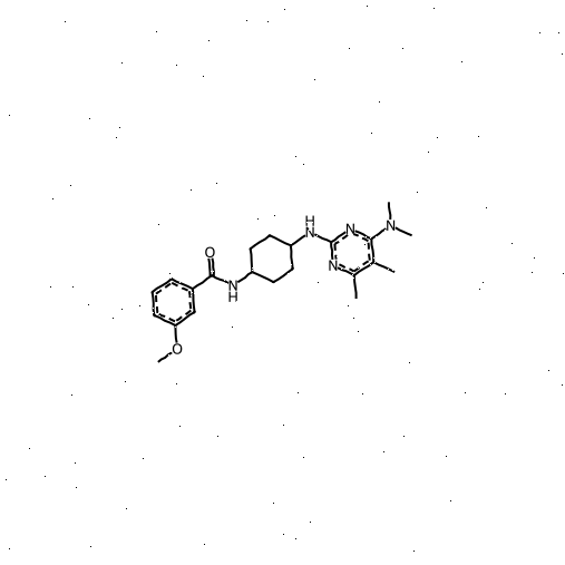 COc1cccc(C(=O)NC2CCC(Nc3nc(C)c(C)c(N(C)C)n3)CC2)c1